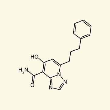 NC(=O)c1c(O)cc(CCCc2ccccc2)n2ncnc12